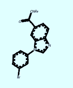 COC(=O)c1ccc2ncn(-c3cccc(Br)c3)c2c1